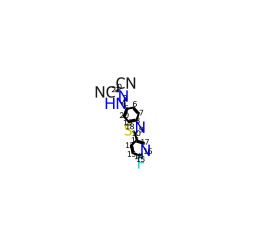 N#CC(C#N)=NNc1ccc2nc(-c3ccc(F)nc3)sc2c1